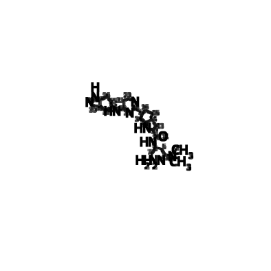 CN(C)/C(N)=C/C(=C\N)NC(=O)c1cc2ccc(-c3nccc(Nc4ccc5[nH]ncc5c4)n3)cc2[nH]1